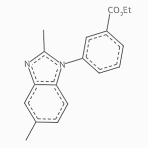 CCOC(=O)c1cccc(-n2c(C)nc3cc(C)ccc32)c1